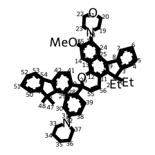 CCC1(CC)c2ccccc2-c2c1c1c(c3cc(OC)c(N4CCOCC4)cc23)OC(c2ccc(N3CCCCC3)cc2)(c2ccc3c(c2)C(C)(C)c2ccccc2-3)C=C1